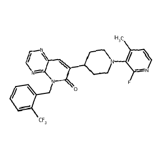 Cc1ccnc(F)c1N1CCC(c2cc3nccnc3n(Cc3ccccc3C(F)(F)F)c2=O)CC1